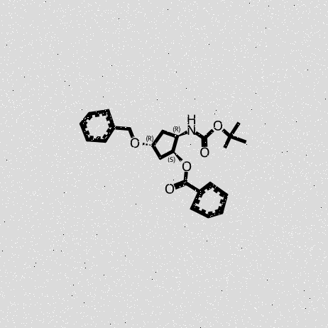 CC(C)(C)OC(=O)N[C@@H]1C[C@@H](OCc2ccccc2)C[C@@H]1OC(=O)c1ccccc1